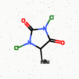 CCCCC1C(=O)N(Cl)C(=O)N1Cl